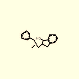 CN(Cc1ccccc1)CC1Cc2ccccc2C1O